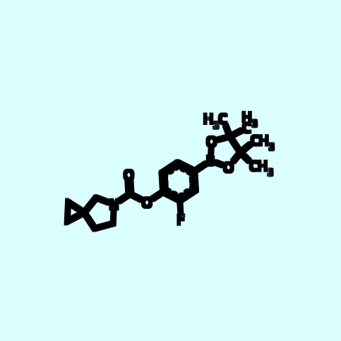 CC1(C)OB(c2ccc(OC(=O)N3CCC4(CC4)C3)c(F)c2)OC1(C)C